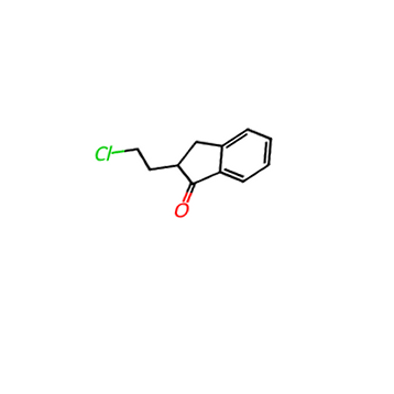 O=C1c2ccccc2CC1CCCl